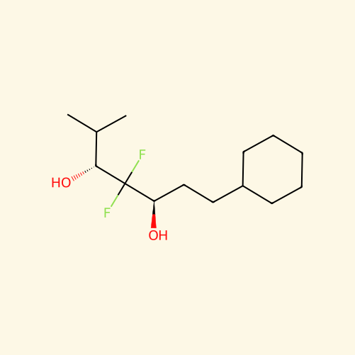 CC(C)[C@@H](O)C(F)(F)[C@H](O)CCC1CCCCC1